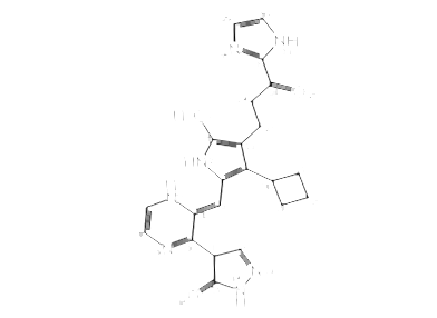 Cc1[nH]c(C=C2NC=CN=C2C2C=NNC2=O)c(C2CCC2)c1CCC(=O)c1ncc[nH]1